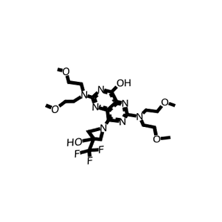 COCCN(CCOC)c1nc(N2CC(O)(C(F)(F)F)C2)c2nc(N(CCOC)CCOC)nc(O)c2n1